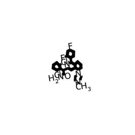 CN1CCN(c2cccc3c(-c4ccc(F)cc4F)nc(C(C(N)=O)c4c(Cl)cccc4Cl)cc23)CC1